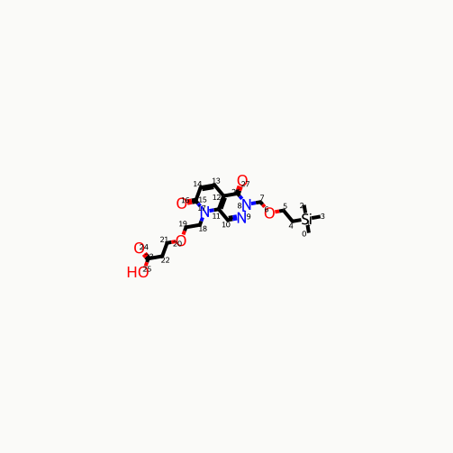 C[Si](C)(C)CCOCn1ncc2c(ccc(=O)n2CCOCCC(=O)O)c1=O